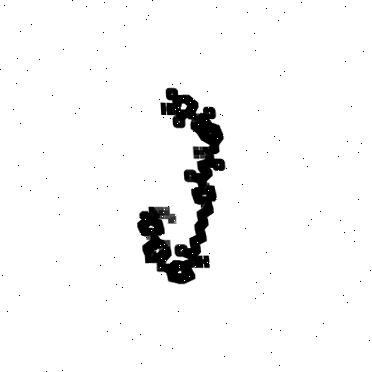 CC1(N)CCN(c2cnc(Sc3cccc(NC(=O)CCCCCCCN4CCN(C(=O)/C=C/C(=O)NCc5ccc6c(c5)CN(C5CCC(=O)NC5=O)C6=O)CC4)c3)cn2)CC1